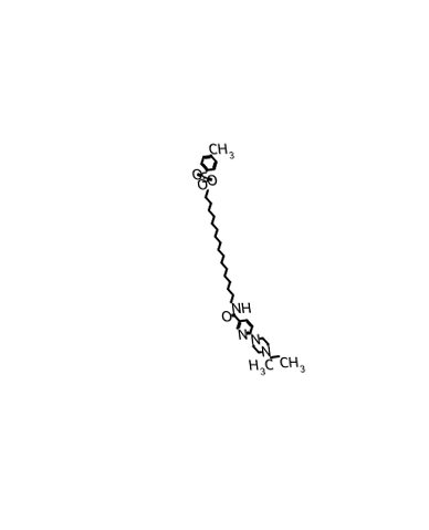 CCC(C)N1CCN(c2ccc(C(=O)NCCCCCCCCCCCCCCCCCCOS(=O)(=O)c3ccc(C)cc3)cn2)CC1